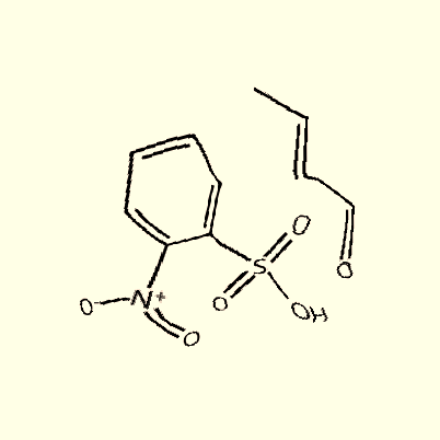 C/C=C/C=O.O=[N+]([O-])c1ccccc1S(=O)(=O)O